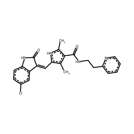 Cc1[nH]c(/C=C2\C(=O)Nc3ccc(Cl)cc32)c(C)c1C(=O)NCCc1ccccn1